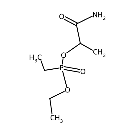 CCOP(=O)(CC)OC(C)C(N)=O